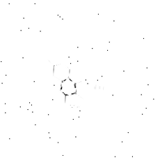 CCCCOc1c(C)c(OC)cc2c1COC(C)C2